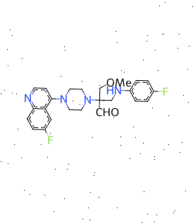 COCC(C=O)(CNc1ccc(F)cc1)N1CCN(c2ccnc3ccc(F)cc23)CC1